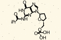 CC(C)C(=O)Nc1nc2c(ncn2[C@H]2CC[C@@H](COP(=O)(O)O)O2)c(=O)[nH]1